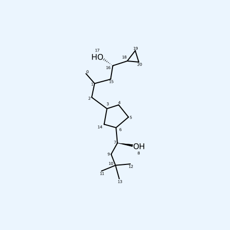 CC(CC1CCC([C@@H](O)CC(C)(C)C)C1)C[C@H](O)C1CC1